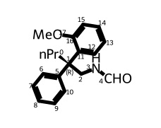 CCC[C@@](CNC=O)(c1ccccc1)c1ccccc1OC